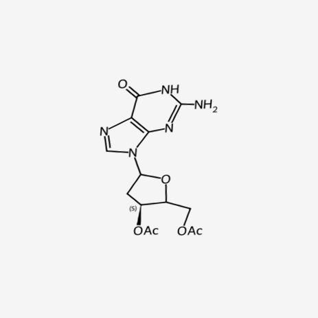 CC(=O)OCC1OC(n2cnc3c(=O)[nH]c(N)nc32)C[C@@H]1OC(C)=O